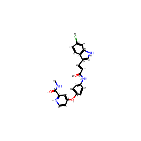 CNC(=O)c1cc(Oc2ccc(NC(=O)/C=C/c3c[nH]c4cc(Cl)ccc34)cc2)ccn1